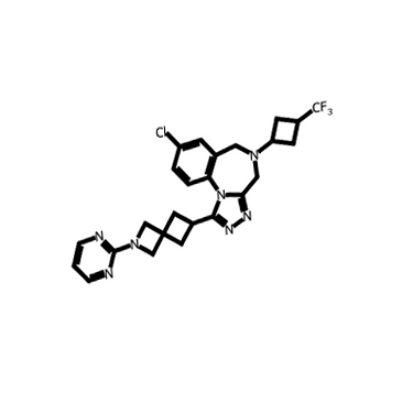 FC(F)(F)C1CC(N2Cc3cc(Cl)ccc3-n3c(nnc3C3CC4(C3)CN(c3ncccn3)C4)C2)C1